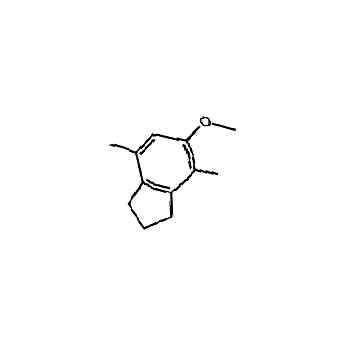 COc1cc(C)c2c(c1C)CCC2